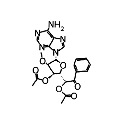 CO[C@@H]1[C@H](OC(C)=O)[C@@H](C(OC(C)=O)C(=O)c2ccccc2)O[C@H]1n1cnc2c(N)ncnc21